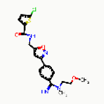 COCCN(C)C(=N)c1ccc(-c2cc(CNC(=O)c3ccc(Cl)s3)on2)cc1